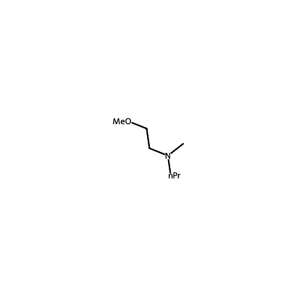 CCCN(C)CCOC